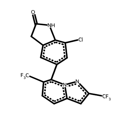 O=C1Cc2cc(-c3c(C(F)(F)F)ccc4cc(C(F)(F)F)nn34)cc(Cl)c2N1